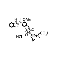 COc1cc(CN2C(=O)N([C@H](CN[C@H](C)CC(=O)O)CC3CC3)C(=O)C2(C)C)ccc1NC(=O)Nc1ccccc1C.Cl